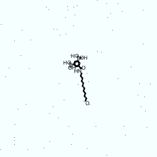 O=[C]CCCCCCCCCCCNC(=O)c1cc(B(O)O)cc(B(O)O)c1